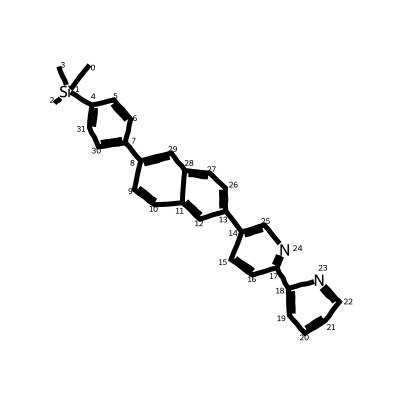 C[Si](C)(C)c1ccc(-c2ccc3cc(-c4ccc(-c5ccccn5)nc4)ccc3c2)cc1